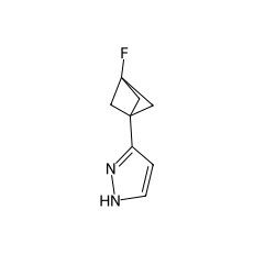 FC12CC(c3cc[nH]n3)(C1)C2